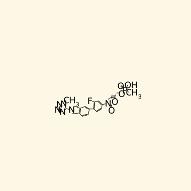 Cn1nnnc1N1Cc2ccc(-c3ccc(N4C[C@H](COP(C)(=O)O)OC4=O)cc3F)cc2C1